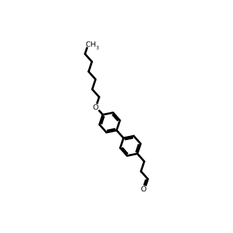 CCCCCCCOc1ccc(-c2ccc(CCC=O)cc2)cc1